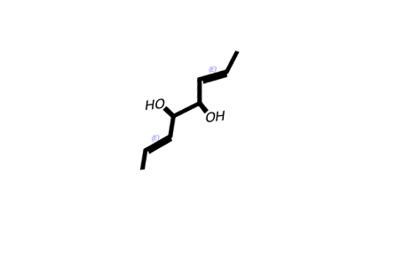 C/C=C/C(O)C(O)/C=C/C